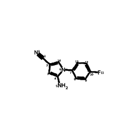 N#Cc1cc(N)n(-c2ccc(F)cc2)c1